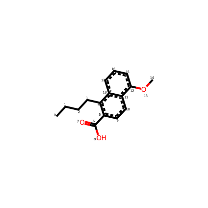 CCCCc1c(C(=O)O)ccc2c(OC)cccc12